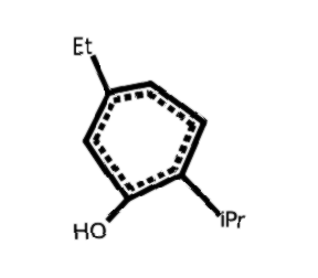 CCc1ccc(C(C)C)c(O)c1